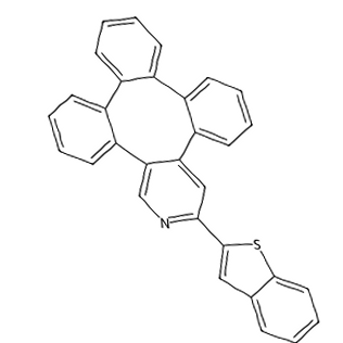 c1ccc2c(c1)-c1ccccc1-c1cnc(-c3cc4ccccc4s3)cc1-c1ccccc1-2